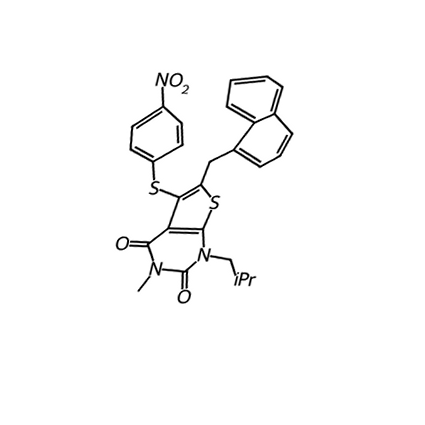 CC(C)Cn1c(=O)n(C)c(=O)c2c(Sc3ccc([N+](=O)[O-])cc3)c(Cc3cccc4ccccc34)sc21